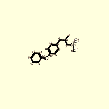 CCN(CC)CC(C)Cc1ccc(Oc2ccccc2)cc1